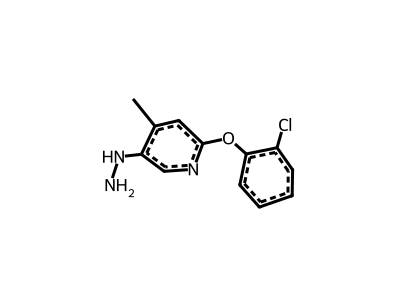 Cc1cc(Oc2ccccc2Cl)ncc1NN